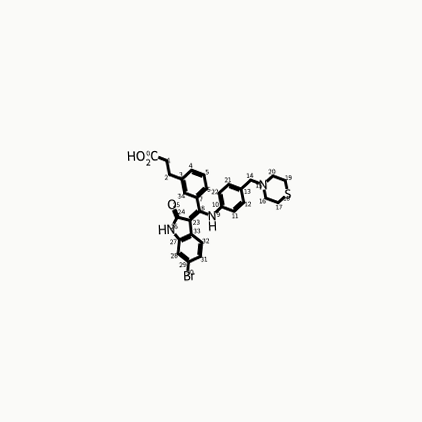 O=C(O)CCc1cccc(C(Nc2ccc(CN3CCSCC3)cc2)=C2C(=O)Nc3cc(Br)ccc32)c1